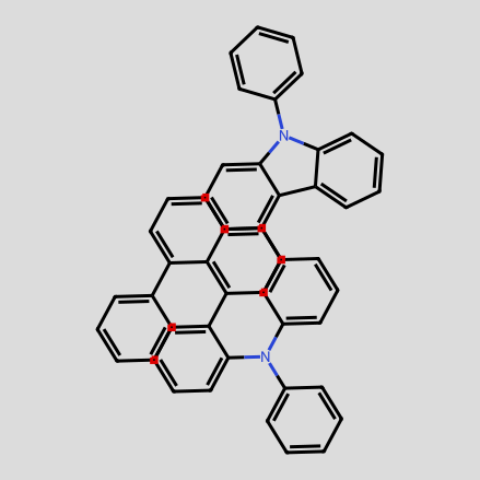 C1=c2cccc(-c3ccccc3)c2=C(c2ccccc2N(c2ccccc2)c2cccc(-c3cccc4c3c3ccccc3n4-c3ccccc3)c2)CC1